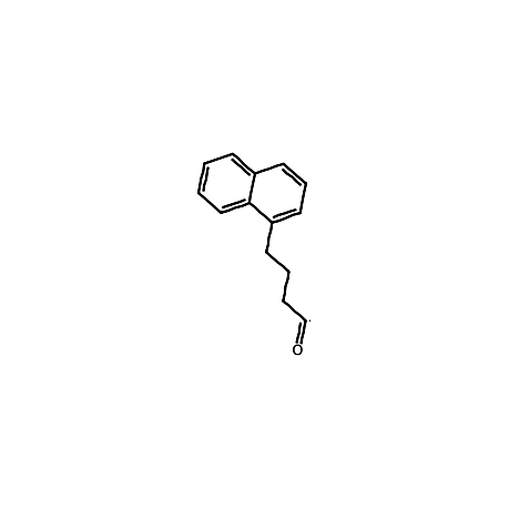 O=[C]CCCc1cccc2ccccc12